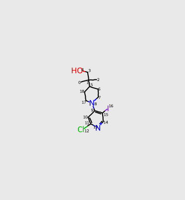 CC(C)(CO)C1CCN(c2cc(Cl)ncc2I)CC1